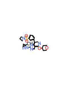 CC1(Nc2ncc3c(OC4CCOCC4)ncc(-c4cccc(S(=O)(=O)N5CCC5)c4)c3n2)CC1